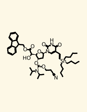 CCC[CH2][Sn]([CH]=Cc1cn([C@H]2C[C@H](OP(OCCC#N)N(C(C)C)C(C)C)[C@@H](C(O)C(=O)OCC3c4ccccc4-c4ccccc43)O2)c(=O)[nH]c1=O)([CH2]CCC)[CH2]CCC